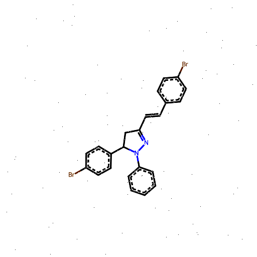 Brc1ccc(C=CC2=NN(c3ccccc3)C(c3ccc(Br)cc3)C2)cc1